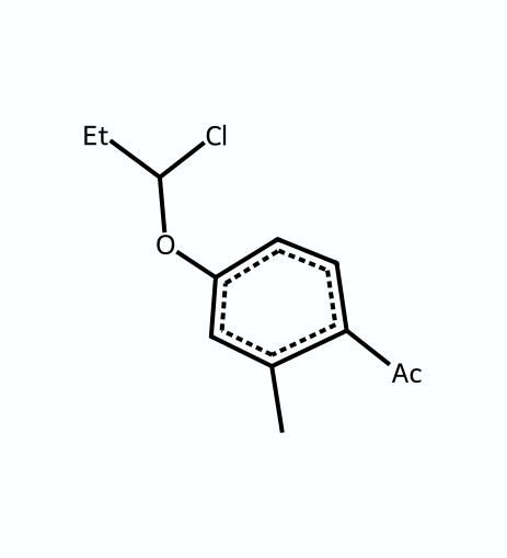 CCC(Cl)Oc1ccc(C(C)=O)c(C)c1